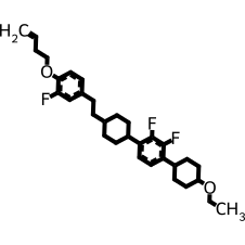 C=CCCOc1ccc(CCC2CCC(c3ccc(C4CCC(OCC)CC4)c(F)c3F)CC2)cc1F